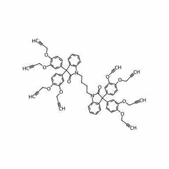 C#CCOc1ccc(C2(c3ccc(OCC#C)c(OCC#C)c3)C(=O)N(CCCCN3C(=O)C(c4ccc(OCC#C)c(OCC#C)c4)(c4ccc(OCC#C)c(OCC#C)c4)c4ccccc43)c3ccccc32)cc1OC#C